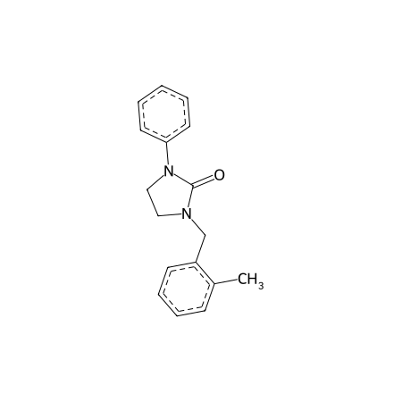 Cc1ccccc1CN1CCN(c2ccccc2)C1=O